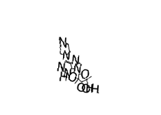 CN1CCN(c2ncnc3c2ncn3[C@@H]2OC(C)(CO)C(O)C2(C)O)CC1